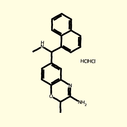 CNC(c1ccc2c(c1)N=C(N)C(C)O2)c1cccc2ccccc12.Cl.Cl